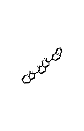 c1ccn2nc(-c3ccc4cc(-c5ccn6cccc6c5)ncc4n3)cc2c1